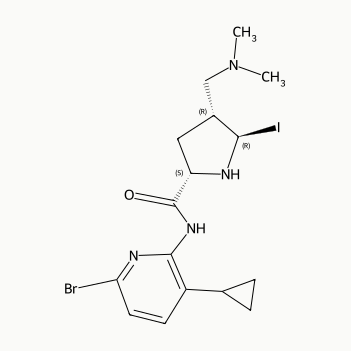 CN(C)C[C@H]1C[C@@H](C(=O)Nc2nc(Br)ccc2C2CC2)N[C@@H]1I